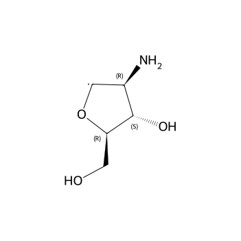 N[C@@H]1[CH]O[C@H](CO)[C@H]1O